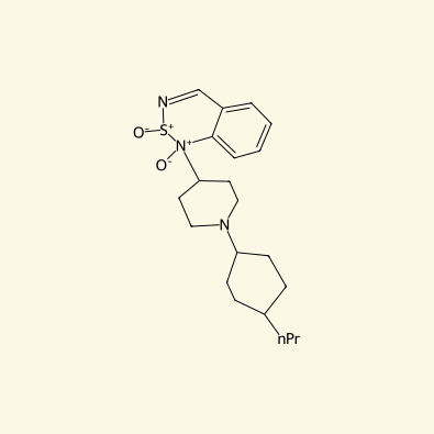 CCCC1CCC(N2CCC([N+]3([O-])c4ccccc4C=N[S+]3[O-])CC2)CC1